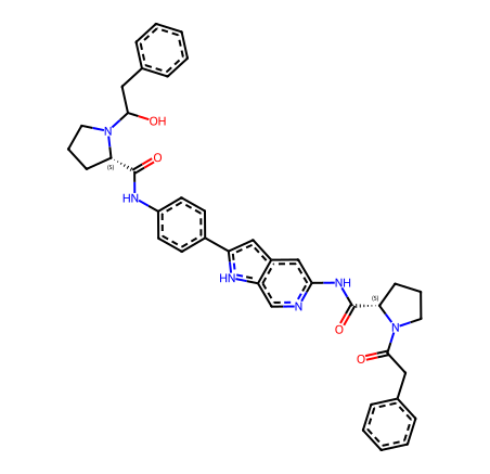 O=C(Nc1cc2cc(-c3ccc(NC(=O)[C@@H]4CCCN4C(O)Cc4ccccc4)cc3)[nH]c2cn1)[C@@H]1CCCN1C(=O)Cc1ccccc1